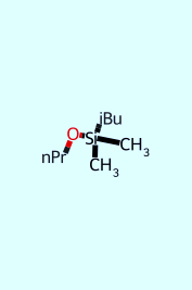 CCCO[Si](C)(C)C(C)CC